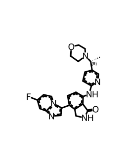 C[C@H](c1ccc(Nc2ccc(-c3cnc4cc(F)ccn34)c3c2C(=O)NC3)nc1)N1CCOCC1